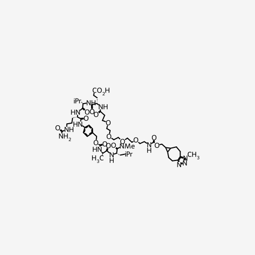 CNC(=O)[C@H](CC(C)C)NC(=O)[C@H](C)NC(=O)OCc1ccc(NC(=O)[C@H](CCCNC(N)=O)NC(=O)[C@@H](NC(=O)[C@H](CCC(=O)O)NC(=O)CCOCCOCCOCCOCCNC(=O)OCC2C3CCc4nnn(C)c4CCC32)C(C)C)cc1